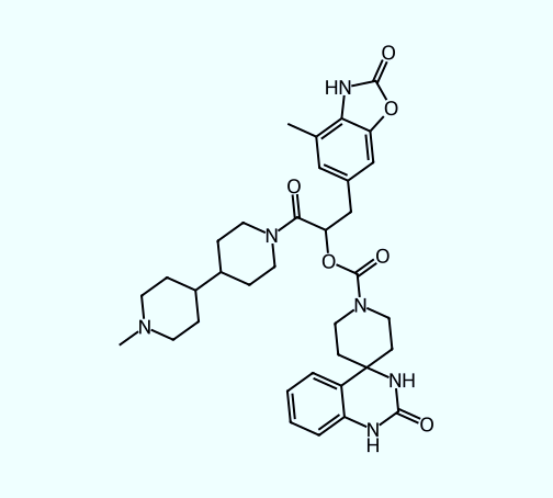 Cc1cc(CC(OC(=O)N2CCC3(CC2)NC(=O)Nc2ccccc23)C(=O)N2CCC(C3CCN(C)CC3)CC2)cc2oc(=O)[nH]c12